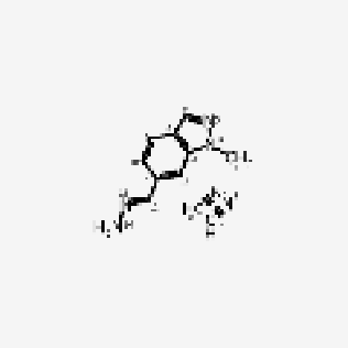 C#N.C#N.Cn1ncc2ccc(C=NN)cc21